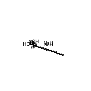 CCCCCCCCCCCCCCCCCCCCCCOC(=O)C(CC(=O)O)S(=O)(=O)O.[NaH].[NaH]